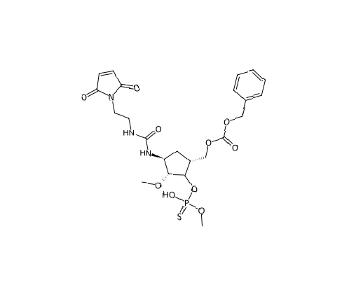 CO[C@H]1C(OP(O)(=S)OC)[C@@H](COC(=O)OCc2ccccc2)C[C@@H]1NC(=O)NCCN1C(=O)C=CC1=O